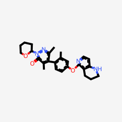 Cc1cc(Oc2nccc3c2CCCN3)ccc1-c1c(C)nn(C2CCCCO2)c(=O)c1C